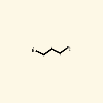 [CH2]CCC[CH]CC